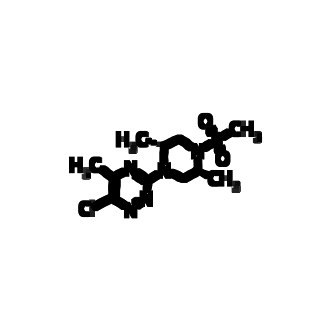 Cc1nc(N2C[C@H](C)N(S(C)(=O)=O)C[C@H]2C)nnc1Cl